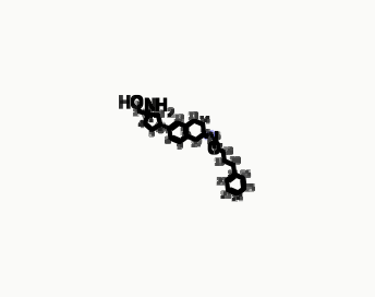 N[C@]1(CO)CC[C@H](c2ccc3c(c2)CC/C(=N/OCCCc2ccccc2)C3)C1